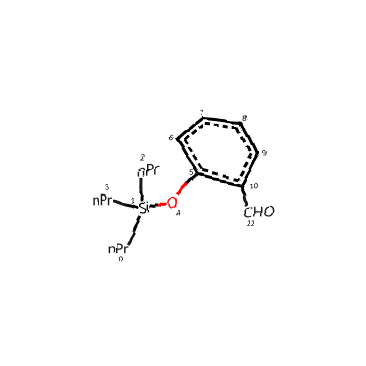 CCC[Si](CCC)(CCC)Oc1ccccc1C=O